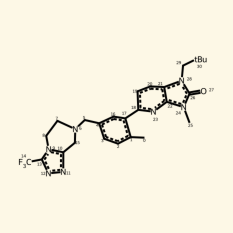 Cc1ccc(CN2CCn3c(nnc3C(F)(F)F)C2)cc1-c1ccc2c(n1)n(C)c(=O)n2CC(C)(C)C